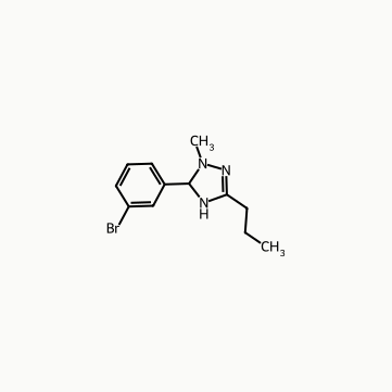 CCCC1=NN(C)C(c2cccc(Br)c2)N1